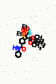 CCOP(=O)(OCC)C(F)(F)c1sc2ccc(C(=O)Nc3ccccc3)cc2c1B1OC(C)(C)C(C)(C)O1